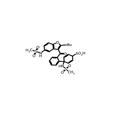 CCCCc1oc2ccc(NS(C)(=O)=O)cc2c1C(=O)c1ccccc1C1(NS(C)(=O)=O)C=CC(S(=O)(=O)O)C=C1